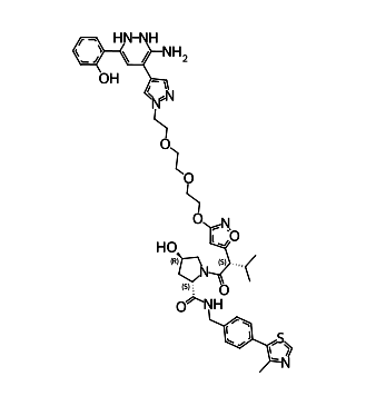 Cc1ncsc1-c1ccc(CNC(=O)[C@@H]2C[C@@H](O)CN2C(=O)[C@H](c2cc(OCCOCCOCCn3cc(C4=C(N)NNC(c5ccccc5O)=C4)cn3)no2)C(C)C)cc1